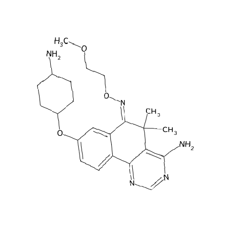 COCCO/N=C1\c2cc(OC3CCC(N)CC3)ccc2-c2ncnc(N)c2C1(C)C